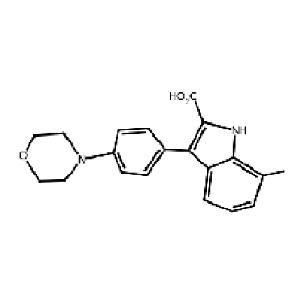 Cc1cccc2c(-c3ccc(N4CCOCC4)cc3)c(C(=O)O)[nH]c12